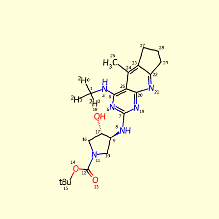 [2H]C([2H])([2H])Nc1nc(N[C@H]2CN(C(=O)OC(C)(C)C)C[C@@H]2O)nc2nc3c(c(C)c12)CCC3